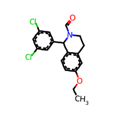 CCOc1ccc2c(c1)CCN(C=O)C2c1cc(Cl)cc(Cl)c1